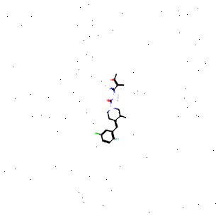 Cc1onc(NC(=O)N2CCC(=Cc3cc(Cl)ccc3F)C(C)C2)c1C